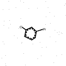 CC(C)c1cc[c]c(Cl)c1